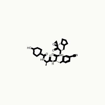 C[C@@H](NC(=O)C1CCC(O)CC1)C(=O)N[C@@H](Cc1ccc(C#N)cc1)C(=O)N[C@@H](CC1CCCC1)C(=O)[C@]1(C)CO1